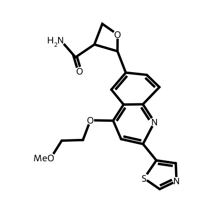 COCCOc1cc(-c2cncs2)nc2ccc(C3OCC3C(N)=O)cc12